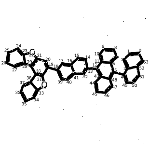 c1ccc2c(-c3c4ccccc4c(-c4ccc5cc(-c6cc7oc8ccccc8c7c7c6oc6ccccc67)ccc5c4)c4ccccc34)cccc2c1